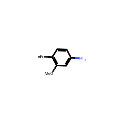 CCCc1ccc(N)cc1OC